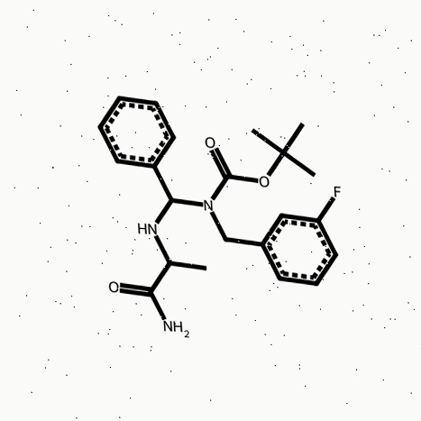 CC(NC(c1ccccc1)N(Cc1cccc(F)c1)C(=O)OC(C)(C)C)C(N)=O